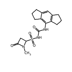 CN1C(=O)CC1S(=O)(=O)NC(=O)Nc1c2c(cc3c1CCC3)CCC2